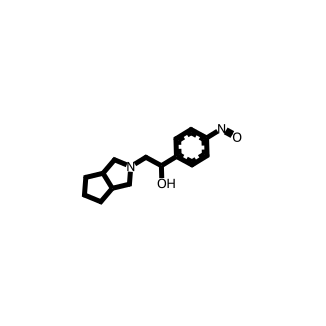 O=Nc1ccc(C(O)CN2CC3CCCC3C2)cc1